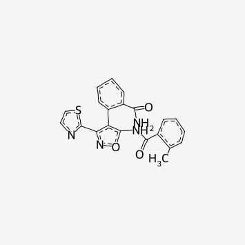 Cc1ccccc1C(=O)Nc1onc(-c2nccs2)c1-c1ccccc1C(N)=O